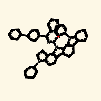 c1ccc(-c2ccc(-c3nc(-n4c5c(ccc6c5ccn6-c5ccccc5)c5ccc6c7ccccc7n(-c7ccccc7)c6c54)nc4ccccc34)cc2)cc1